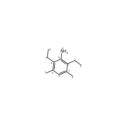 CCc1c(C)cc(C)c(CC)c1N